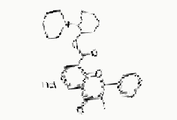 Cc1c(-c2ccccc2)oc2c(C(=O)OC3CCCCC3N3CCCCC3)cccc2c1=O.Cl